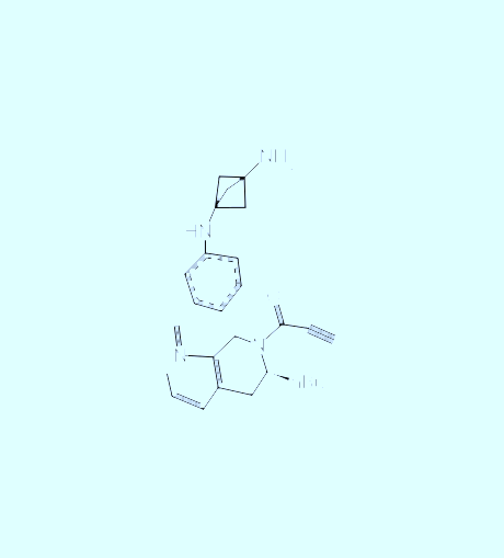 C#CC(=O)N1[C@@H](CCCC)CC(/C=C\C)=C(N=C)[C@@H]1c1ccc(NC23CC(N)(C2)C3)cc1